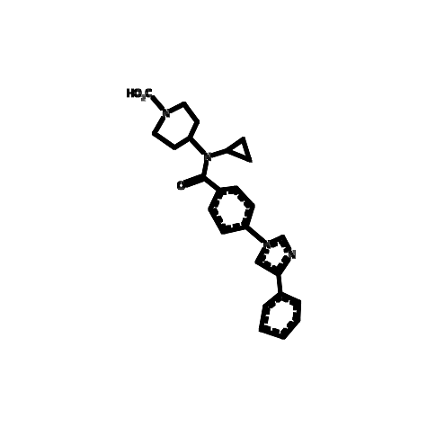 O=C(O)N1CCC(N(C(=O)c2ccc(-n3cnc(-c4ccccc4)c3)cc2)C2CC2)CC1